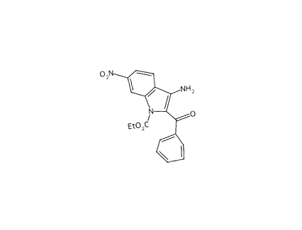 CCOC(=O)n1c(C(=O)c2ccccc2)c(N)c2ccc([N+](=O)[O-])cc21